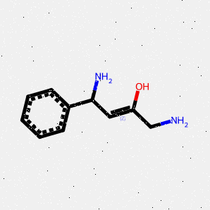 NC/C(O)=C/C(N)c1ccccc1